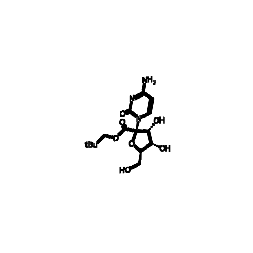 CC(C)(C)COC(=O)[C@@]1(n2ccc(N)nc2=O)O[C@H](CO)[C@@H](O)[C@H]1O